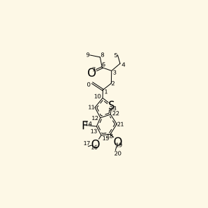 C=C(CC(CC)C(=O)CC)c1cc2c(F)c(OC)c(OC)cc2s1